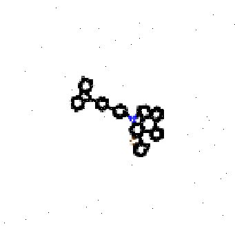 c1ccc2c(c1)-c1cccc3ccc4c(c13)c1c-2c2c(cc1n4-c1ccc(-c3ccc(C4c5ccccc5-c5ccccc54)cc3)cc1)sc1ccccc12